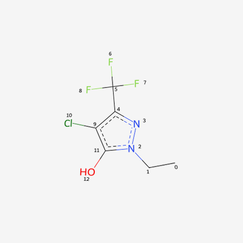 CCn1nc(C(F)(F)F)c(Cl)c1O